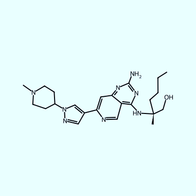 CCCC[C@](C)(CO)Nc1nc(N)nc2cc(-c3cnn(C4CCN(C)CC4)c3)ncc12